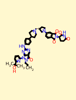 C=CCn1c(=O)c2cnc(Nc3ccc(C4CCN(C[C@@H]5CCN(c6ccc7c(c6)C(=O)N(C6CCC(=O)NC6=O)C7=O)C5)CC4)cc3)nc2n1-c1cccc(C(C)(C)O)n1